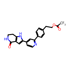 O=C1NCCc2[nH]c(-c3ccnc(-c4ccc(CCOC(=O)C(F)(F)F)cc4)c3)cc21